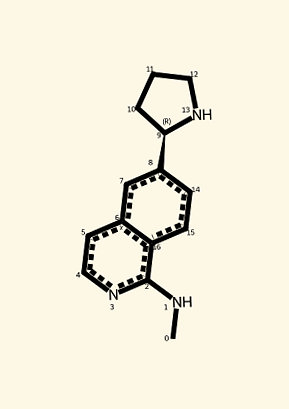 CNc1nccc2cc([C@H]3CCCN3)ccc12